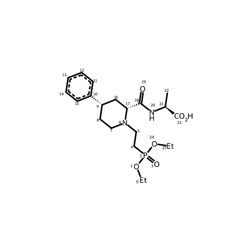 CCOP(=O)(CCN1CC[C@H](c2ccccc2)C[C@@H]1C(=O)N[C@@H](C)C(=O)O)OCC